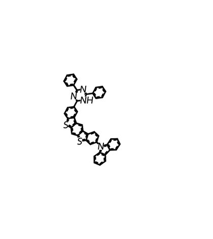 c1ccc(C2=NC(c3ccc4sc5cc6sc7cc(-n8c9ccccc9c9ccccc98)ccc7c6cc5c4c3)NC(c3ccccc3)=N2)cc1